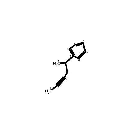 [CH2]C#CCC(C)c1ccccc1